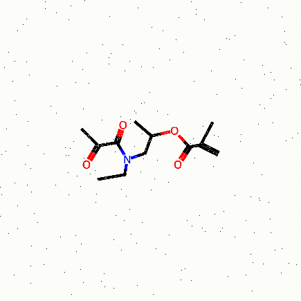 C=C(C)C(=O)OC(C)CN(CC)C(=O)C(C)=O